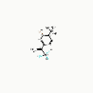 [2H]C([2H])([2H])c1ccc(C(=C)C(F)(F)F)cc1Br